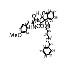 COc1ccc(C[C@@H](NC(=O)O)C(=O)N2CC(OCCCCOCc3ccccc3)(c3ccccc3C)C2)cc1